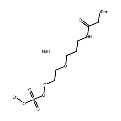 CCCCCCCCCCCC(=O)NCCCOCCOOS(=O)(=O)OCC.[NaH]